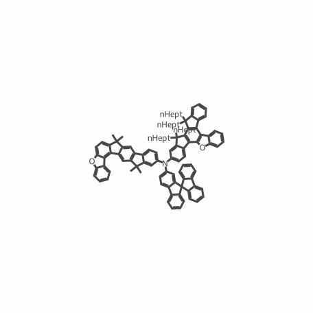 CCCCCCCC1(CCCCCCC)c2cc(N(c3ccc4c(c3)C(C)(C)c3cc5c(cc3-4)C(C)(C)c3ccc4oc6ccccc6c4c3-5)c3ccc4c(c3)C3(c5ccccc5-c5ccccc53)c3ccccc3-4)ccc2-c2c1c1c(c3c2oc2ccccc23)-c2ccccc2C1(CCCCCCC)CCCCCCC